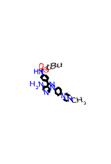 CN1CCN(C2CCC(n3nc(-c4ccc(NC(=O)OC(C)(C)C)cc4)c4c(N)cncc43)CC2)CC1